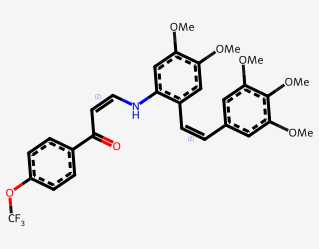 COc1cc(/C=C\c2cc(OC)c(OC)c(OC)c2)c(N/C=C\C(=O)c2ccc(OC(F)(F)F)cc2)cc1OC